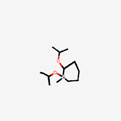 CC(C)OC1CCCC[Si]1(C)OC(C)C